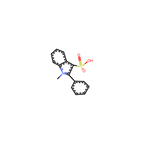 Cn1c(-c2ccccc2)c(S(=O)(=O)O)c2ccccc21